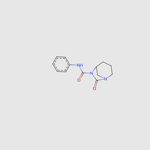 O=C(Nc1ccccc1)N1C(=O)N2CCCC1C2